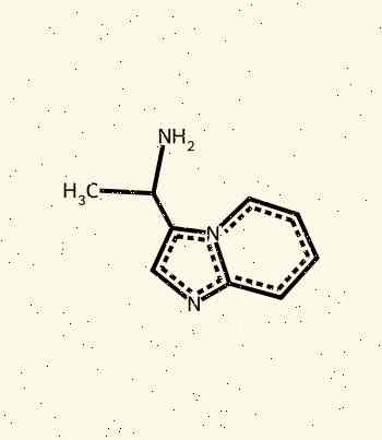 CC(N)c1cnc2ccccn12